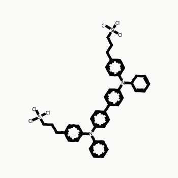 Cl[Si](Cl)(Cl)CCCc1ccc(N(c2ccccc2)c2ccc(-c3ccc(N(c4ccc(CCC[Si](Cl)(Cl)Cl)cc4)C4C=CC=CC4)cc3)cc2)cc1